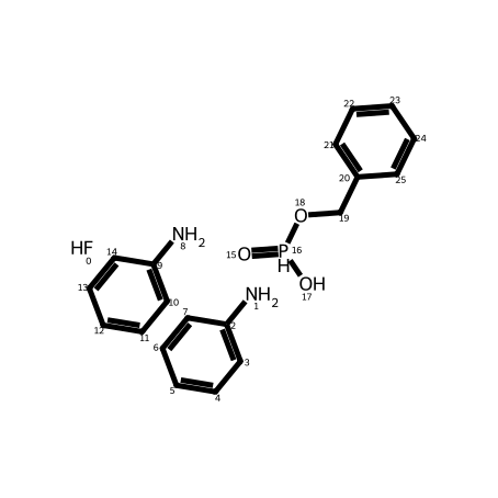 F.Nc1ccccc1.Nc1ccccc1.O=[PH](O)OCc1ccccc1